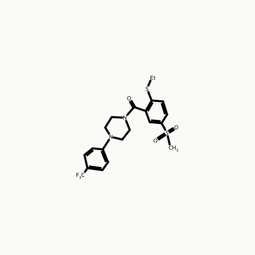 CCSc1ccc(S(C)(=O)=O)cc1C(=O)N1CCN(c2ccc(C(F)(F)F)cc2)CC1